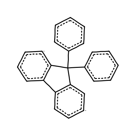 [c]1ccc2c(c1)C(c1ccccc1)(c1ccccc1)c1[c]cccc1-2